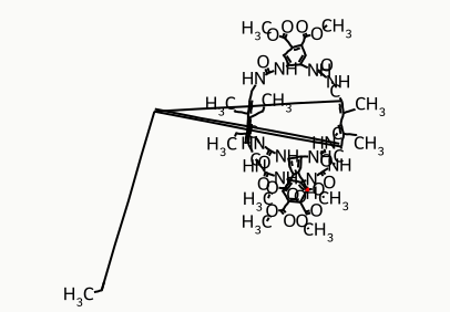 CCc1c2c(CC)c3c(CC)c1CNC(=O)Nc1cc(C(=O)OC)c(C(=O)OC)cc1NC(=O)NCc1c(CC)c(c(CC)c(c1CC)CNC(=O)Nc1cc(C(=O)OC)c(C(=O)OC)cc1NC(=O)NC3)CNC(=O)Nc1cc(C(=O)OC)c(C(=O)OC)cc1NC(=O)NC2